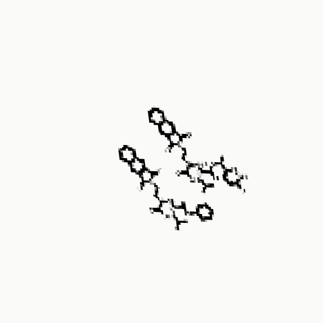 CC(C)C[C@H](N[C@H](CCN1C(=O)c2cc3ccccc3cc2C1=O)C(=O)O)C(=O)NC(C)c1ccc(=O)[nH]n1.CC(C)C[C@H](N[C@H](CCN1C(=O)c2cc3ccccc3cc2C1=O)C(=O)O)C(=O)Nc1ccccc1